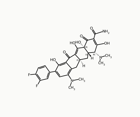 CN(C)c1cc(-c2ccc(F)c(F)c2)c(O)c2c1C[C@@H]1C[C@H]3[C@@H](N(C)C)C(O)=C(C(N)=O)C(=O)[C@]3(O)C(O)=C1C2=O